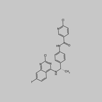 C[C@H](Nc1nc(Cl)nc2cc(I)ccc12)c1ccc(NC(=O)c2ccc(Cl)nc2)cc1